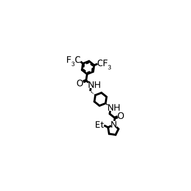 CCC1CCCN1C(=O)CN[C@H]1CC[C@@H](CNC(=O)c2cc(C(F)(F)F)cc(C(F)(F)F)c2)CC1